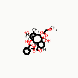 COCC(=O)O[C@H]1C(=O)[C@@]2(C)[C@H]([C@H](OC(=O)c3ccccc3)[C@]3(O)C[C@H](O)C(C)=C1C3(C)C)[C@]1(OC(C)=O)CO[C@@H]1C[C@@H]2O